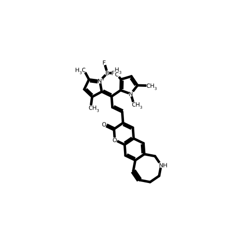 CC1=CC(C)=[N+](B(F)F)/C1=C(/C=C/c1cc2cc3c(cc2oc1=O)C#CCCNC3)c1c(C)cc(C)n1C